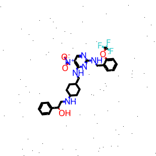 O=[N+]([O-])c1cnc(NCc2ccccc2OC(F)(F)F)nc1NCC1CCC(NC[C@@H](O)c2ccccc2)CC1